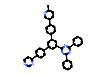 Cc1ccc(-c2ccc(-c3cc(-c4ccc(-c5ccncn5)cc4)cc(-c4nc(-c5ccccc5)nc(-c5ccccc5)n4)c3)cc2)cn1